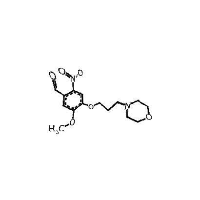 COc1cc(C=O)c([N+](=O)[O-])cc1OCCCN1CCOCC1